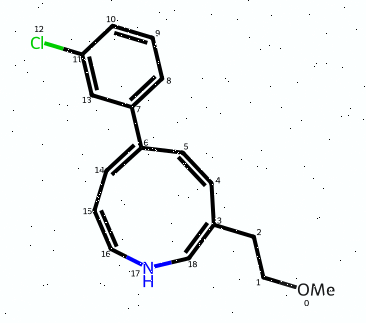 COCCc1ccc(-c2cccc(Cl)c2)ccc[nH]c1